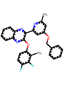 Cc1cc(OCc2ccccc2)cc(-c2nc3ccccc3nc2Oc2ccc(F)c(F)c2C)n1